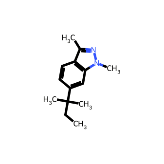 CCC(C)(C)c1ccc2c(C)nn(C)c2c1